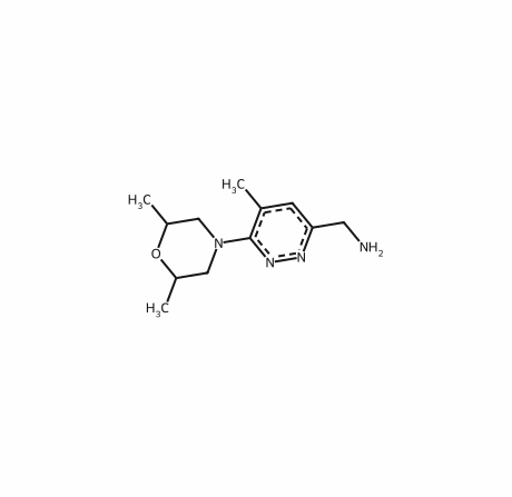 Cc1cc(CN)nnc1N1CC(C)OC(C)C1